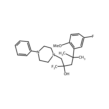 COc1ccc(F)cc1C(C)(C)CC(O)(CN1CCN(c2ccccc2)CC1)C(F)(F)F